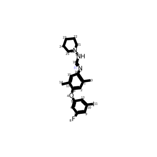 Cc1cc(Oc2cc(F)cc(I)c2)c(C)cc1/N=C/NN1CCCCC1